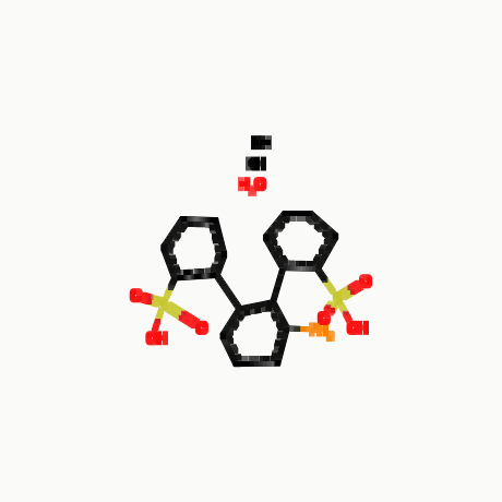 O.O=S(=O)(O)c1ccccc1-c1cccc(P)c1-c1ccccc1S(=O)(=O)O.[KH].[KH]